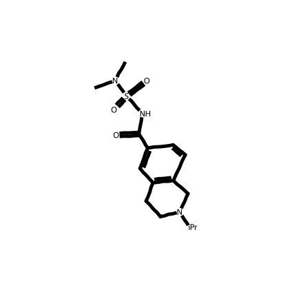 CC(C)N1CCc2cc(C(=O)NS(=O)(=O)N(C)C)ccc2C1